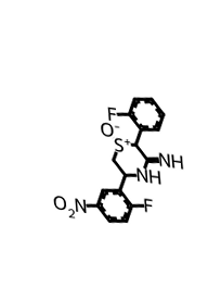 N=C1NC(c2cc([N+](=O)[O-])ccc2F)C[S+]([O-])C1c1ccccc1F